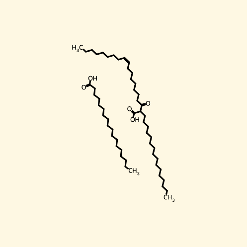 CCCCCCCC/C=C\CCCCCCCC(=O)C(CCCCCCCCCCCCCCCC)C(=O)O.CCCCCCCCCCCCCCCCCC(=O)O